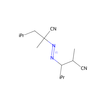 CC(C)CC(C)(C#N)/N=N/C(C(C)C)C(C)C#N